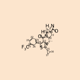 [CH2][C@H]1C[C@@]2(C(N)=O)C[C@@H]2N1C(=O)c1nc(C2CC2)sc1-c1cccc(C(F)(F)F)c1